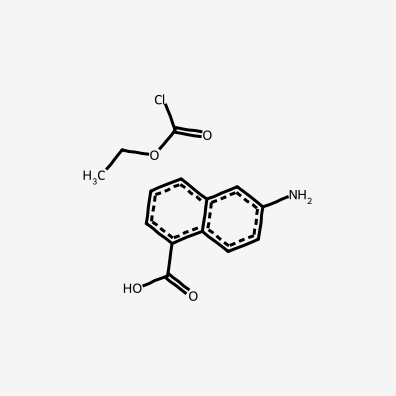 CCOC(=O)Cl.Nc1ccc2c(C(=O)O)cccc2c1